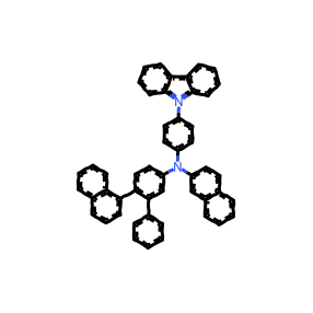 c1ccc(-c2cc(N(c3ccc(-n4c5ccccc5c5ccccc54)cc3)c3ccc4ccccc4c3)ccc2-c2cccc3ccccc23)cc1